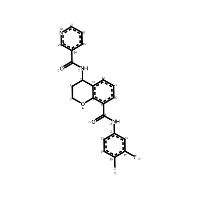 O=C(NC1CCOc2c(C(=O)Nc3ccc(F)c(F)c3)cccc21)c1cccnc1